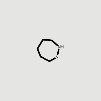 C1CC[N]NCC1